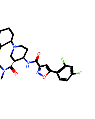 CN(C)C(=O)[C@@H]1CN(C2CCCCC2F)CC[C@H]1NC(=O)c1cc(-c2ccc(F)cc2F)on1